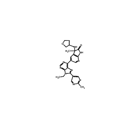 CCn1c(-c2cnc(C)nc2)nc2c(-c3cnc4c(c3)C(C)(NC3CCOC3)C(=O)N4)ncnc21